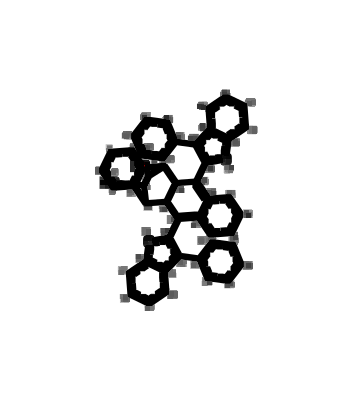 OC1C(O)C2c3ccccc3C1C1C(c3oc4ccccc4c3-c3ccccc3)=c3ccccc3=C(c3oc4ccccc4c3-c3ccccc3)C12